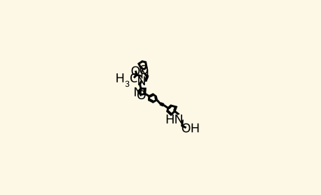 CC(OC1CCCCO1)c1nccn1Cc1cc(-c2ccc(C#Cc3ccc(CNCCO)cc3)cc2)on1